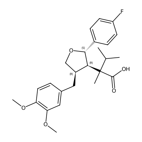 COc1ccc(C[C@H]2CO[C@H](c3ccc(F)cc3)[C@H]2C(C)(C(=O)O)C(C)C)cc1OC